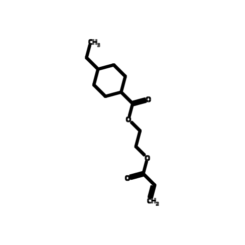 C=CC(=O)OCCOC(=O)C1CCC(CC)CC1